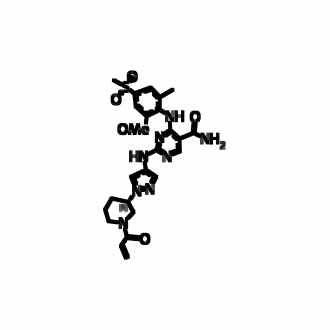 C=CC(=O)N1CCC[C@@H](n2cc(Nc3ncc(C(N)=O)c(Nc4c(C)cc(S(C)(=O)=O)cc4OC)n3)cn2)C1